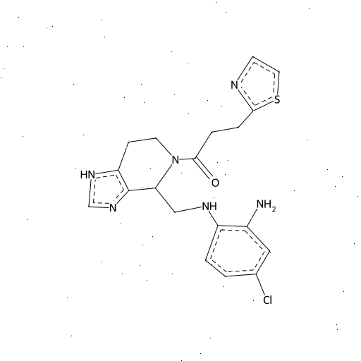 Nc1cc(Cl)ccc1NCC1c2nc[nH]c2CCN1C(=O)CCc1nccs1